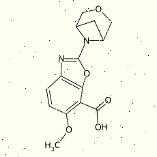 COc1ccc2nc(N3C4COCC3C4)oc2c1C(=O)O